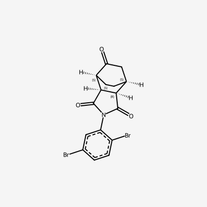 O=C1C[C@@H]2CC[C@H]1[C@@H]1C(=O)N(c3cc(Br)ccc3Br)C(=O)[C@H]21